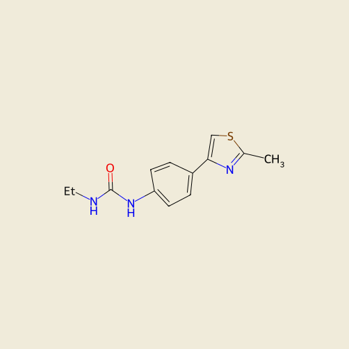 CCNC(=O)Nc1ccc(-c2csc(C)n2)cc1